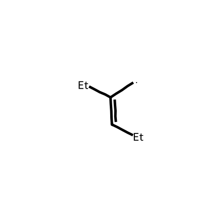 [CH2]C(=CCC)CC